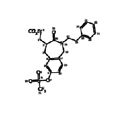 CCOC(=O)CC1Cc2cc(OS(=O)(=O)C(F)(F)F)ccc2CN(CCc2ccccc2)C1=O